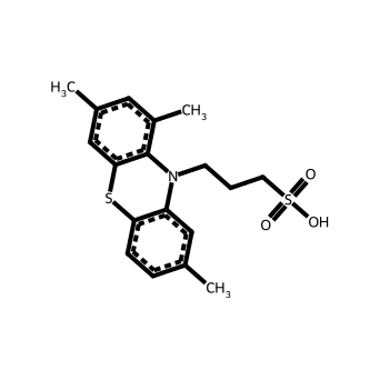 Cc1cc(C)c2c(c1)Sc1ccc(C)cc1N2CCCS(=O)(=O)O